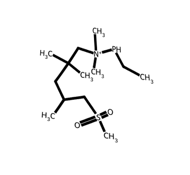 CCP[N+](C)(C)CC(C)(C)CC(C)CS(C)(=O)=O